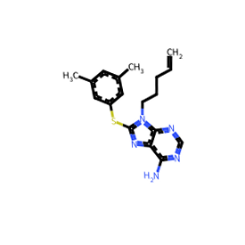 C=CCCCn1c(Sc2cc(C)cc(C)c2)nc2c(N)ncnc21